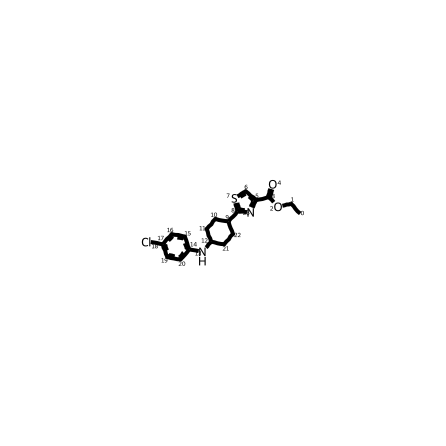 CCOC(=O)c1csc(C2CCC(Nc3ccc(Cl)cc3)CC2)n1